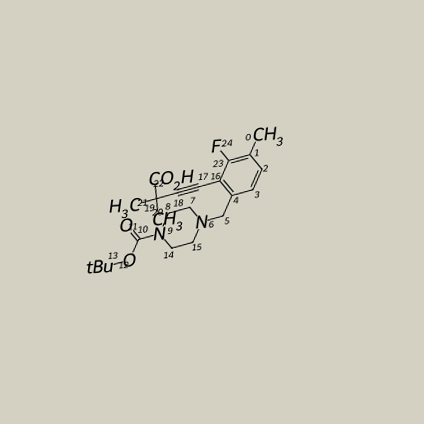 Cc1ccc(CN2CCN(C(=O)OC(C)(C)C)CC2)c(C#CC(C)(C)C(=O)O)c1F